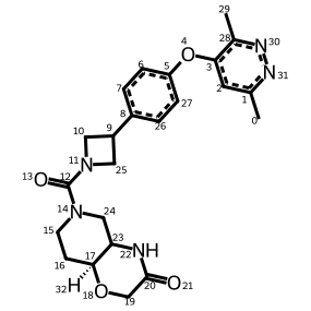 Cc1cc(Oc2ccc(C3CN(C(=O)N4CC[C@@H]5OCC(=O)NC5C4)C3)cc2)c(C)nn1